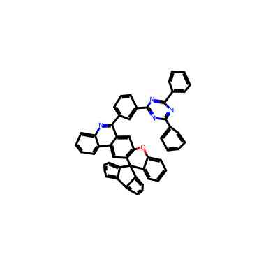 c1ccc(-c2nc(-c3ccccc3)nc(-c3cccc(-c4nc5ccccc5c5cc6c(cc45)Oc4ccccc4C64c5ccccc5-c5ccccc54)c3)n2)cc1